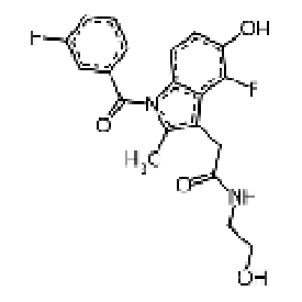 Cc1c(CC(=O)NCCO)c2c(F)c(O)ccc2n1C(=O)c1cccc(F)c1